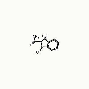 CN1c2ccccc2SC1C(N)=O.Cl